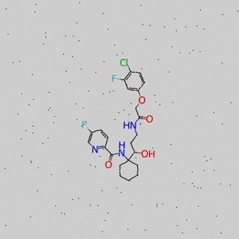 O=C(COc1ccc(Cl)c(F)c1)NCCC(O)C1(NC(=O)c2ccc(F)cn2)CCCCC1